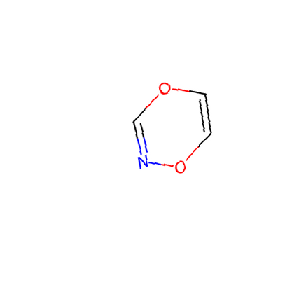 C1=CON=CO1